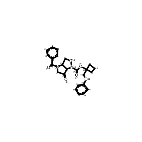 O=C1CN(C(=O)c2ccccc2)C2CON(C(=O)OC3(COc4ccccc4)CCC3)C12